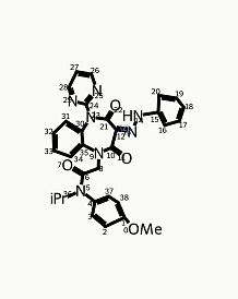 COc1ccc(N(C(=O)Cn2c(=O)/c(=N/Nc3ccccc3)c(=O)n(-c3ncccn3)c3ccccc32)C(C)C)cc1